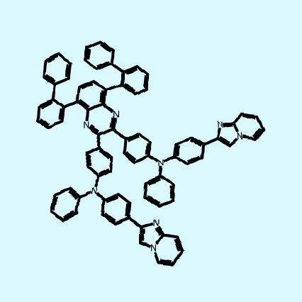 c1ccc(-c2ccccc2-c2ccc(-c3ccccc3-c3ccccc3)c3nc(-c4ccc(N(c5ccccc5)c5ccc(-c6cn7ccccc7n6)cc5)cc4)c(-c4ccc(N(c5ccccc5)c5ccc(-c6cn7ccccc7n6)cc5)cc4)nc23)cc1